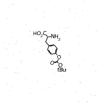 CC(C)(C)OC(=O)Oc1ccc(C[C@H](N)C(=O)O)cc1